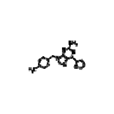 Nc1nc(-c2ccco2)c2ncn(Cc3ccc(C(F)(F)F)cc3)c2n1